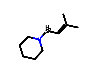 CC(C)=C[SiH2]N1CCCCC1